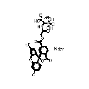 O=C(COC(=O)c1ccc2c(c1)C1(OC2=O)c2ccc([O-])cc2Oc2cc([O-])ccc21)NC([P+]([O-])(O)O)[P+]([O-])(O)O.[Na+].[Na+]